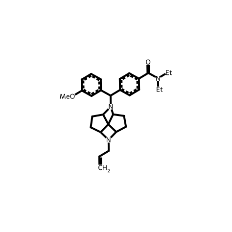 C=CCN1C2CCC3N(C(c4ccc(C(=O)N(CC)CC)cc4)c4cccc(OC)c4)C4CCC1C234